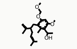 C=C(C)C(CC=C(C)C)Cc1c(OCOC)cc(OC)c(C(C)O)c1C